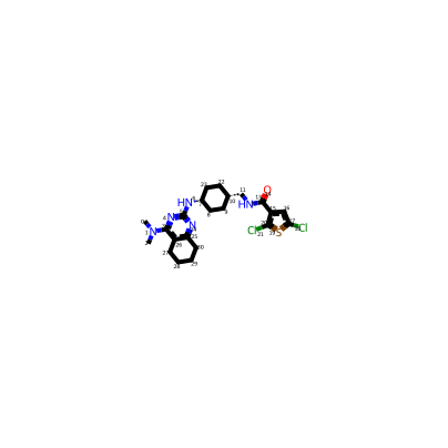 CN(C)c1nc(N[C@H]2CC[C@@H](CNC(=O)c3cc(Cl)sc3Cl)CC2)nc2c1CCCC2